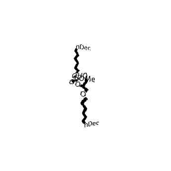 CCCCCCCCCCCCCCCCOCC(CO)OP(=O)(OC)OCCCCCCCCCCCCCCCC